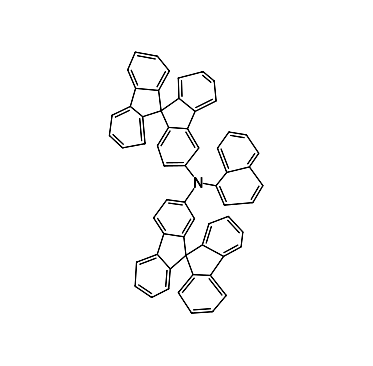 c1ccc2c(c1)-c1ccccc1C21c2ccccc2-c2cc(N(c3ccc4c(c3)C3(c5ccccc5-c5ccccc53)c3ccccc3-4)c3cccc4ccccc34)ccc21